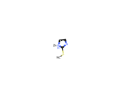 N#CSc1ncc[nH]1.[Zn]